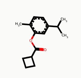 Cc1ccc(C(C)C)cc1OC(=O)C1CCC1